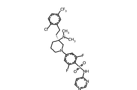 CN(C)[C@]1(CCc2cc(C(F)(F)F)ccc2Cl)CCCN(c2cc(F)c(S(=O)(=O)Nc3ccncn3)c(F)c2)C1